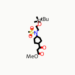 COC(=O)CC(=O)C1CCC(N(CCO[Si](C)(C)C(C)(C)C)S(C)(=O)=O)CC1